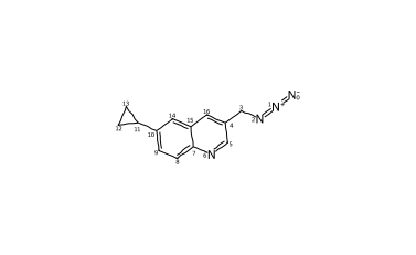 [N-]=[N+]=NCc1cnc2ccc(C3CC3)cc2c1